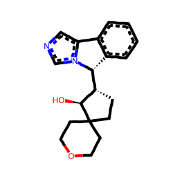 O[C@H]1[C@H]([C@H]2c3ccccc3-c3cncn32)CCC12CCOCC2